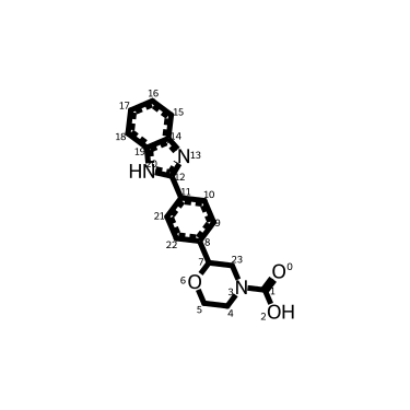 O=C(O)N1CCOC(c2ccc(-c3nc4ccccc4[nH]3)cc2)C1